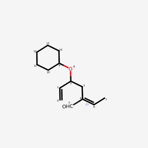 C=CC(C/C(C=O)=C\C)OC1CCCCC1